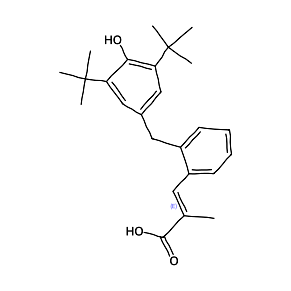 C/C(=C\c1ccccc1Cc1cc(C(C)(C)C)c(O)c(C(C)(C)C)c1)C(=O)O